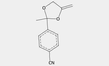 C=C1COC(C)(c2ccc(C#N)cc2)O1